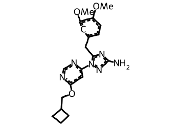 COc1ccc(Cc2nc(N)nn2-c2cc(OCC3CCC3)ncn2)cc1OC